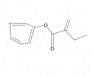 C=C(CC)C(=O)Oc1ccccc1